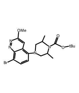 COc1cc2c(N3CC(C)N(C(=O)OC(C)(C)C)C(C)C3)ccc(Br)c2nn1